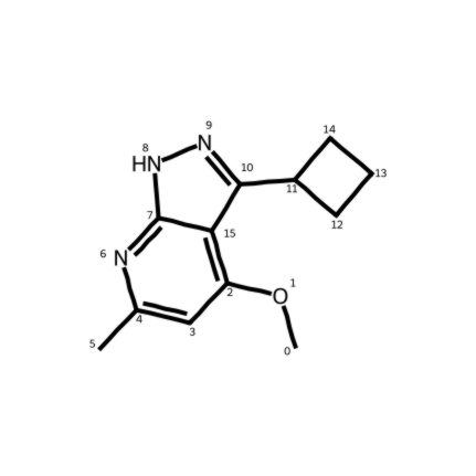 COc1cc(C)nc2[nH]nc(C3CCC3)c12